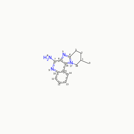 CC1CCc2nc3c(N)nc4ccccc4c3n2C1